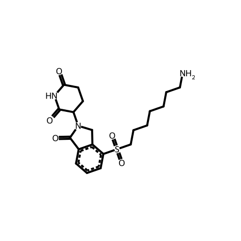 NCCCCCCCS(=O)(=O)c1cccc2c1CN(C1CCC(=O)NC1=O)C2=O